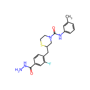 Cc1cccc(NC(=O)N2CCSC(Cc3ccc(C(=O)NN)cc3F)C2)c1